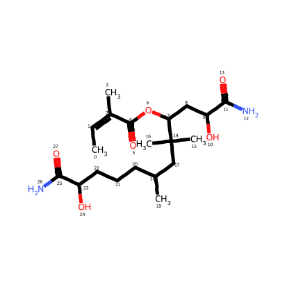 CC=C(C)C(=O)OC(CC(O)C(N)=O)C(C)(C)CC(C)CCCC(O)C(N)=O